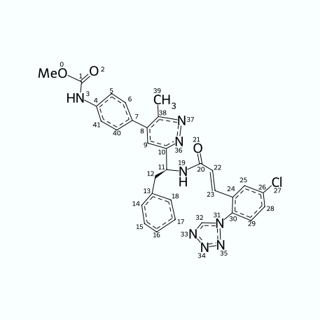 COC(=O)Nc1ccc(-c2cc([C@H](Cc3ccccc3)NC(=O)/C=C/c3cc(Cl)ccc3-n3cnnn3)nnc2C)cc1